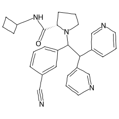 N#Cc1cccc(C(C(c2cccnc2)c2cccnc2)N2CCC[C@H]2C(=O)NC2CCC2)c1